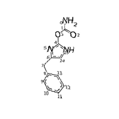 NC(=O)Oc1nc(Cc2ccccc2)c[nH]1